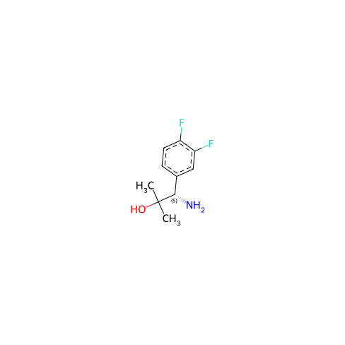 CC(C)(O)[C@@H](N)c1ccc(F)c(F)c1